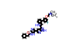 CN(C)CCOc1cc(F)cc(-c2cccc3[nH]c(-c4n[nH]c5ncc(-c6cncc(NC(=O)CC7CCCCC7)c6)cc45)cc23)c1